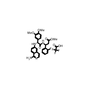 COC(=O)CC(NC(=O)[C@H](Nc1ccc2c(N)nccc2c1)c1ccc(OC)c(OC)c1)c1ccccc1F.O=C(O)C(F)(F)F